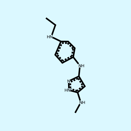 CCNc1ccc(Nc2cc(NC)[nH]n2)cc1